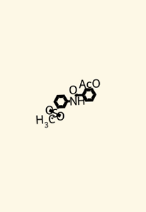 CC(=O)Oc1ccccc1C(=O)Nc1cccc(S(C)(=O)=O)c1